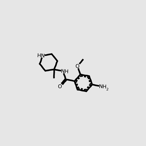 COc1cc(N)ccc1C(=O)NC1(C)CCNCC1